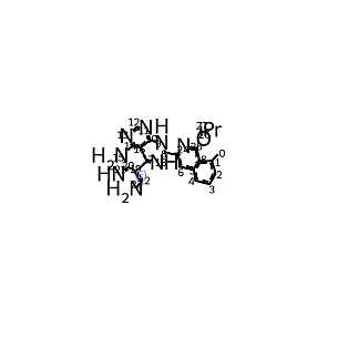 Cc1cccc2cc(CNc3ncnc(N)c3C(=N)/C(C=N)=C/N)nc(OC(C)C)c12